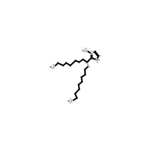 CCCCCCCCCC[C@H](CCCCCCCC)c1[nH]cc[n+]1C